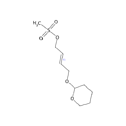 CS(=O)(=O)OC/C=C/COC1CCCCO1